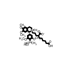 COc1cc2c(cc1OC)[C@@H](c1cc(OC)c(OC)c(OC)c1)[N@@+](C)(CCCC(CCCCCC(=O)O)C(=O)[O-])CC2.Cl.Cl